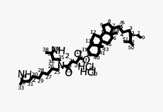 CC[C@H](CC[C@@H](C)C1CCC2C3CC=C4CC(OC(=O)CCC(=O)N(CCCCCCCC(C)N)CCC(C)N)CCC4(C)C3CCC21C)C(C)C.Cl.Cl